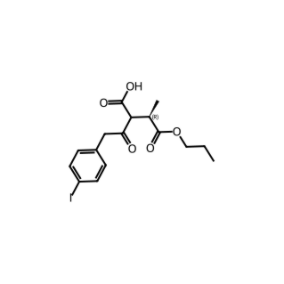 CCCOC(=O)[C@H](C)C(C(=O)O)C(=O)Cc1ccc(I)cc1